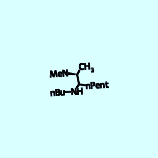 CCCCCC(NCCCC)[C@H](C)NC